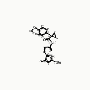 C=C(/C=C\c1[nH]c(C(C)(C)C)cc1C)NC(=O)C1(c2ccc3c(c2)OCO3)CC1